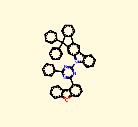 c1ccc(-c2nc(-c3cccc4oc5ccccc5c34)nc(-n3c4ccccc4c4cc5c(cc43)C(c3ccccc3)(c3ccccc3)c3ccccc3-5)n2)cc1